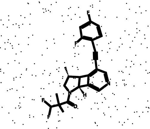 C[C@H]1CN(C(=O)C(C)(C)C(F)F)[C@@H]2c3cncc(C#Cc4ccc(F)cc4F)c3C21